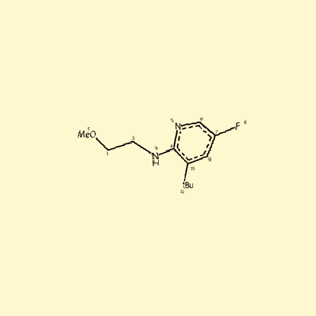 COCCNc1ncc(F)cc1C(C)(C)C